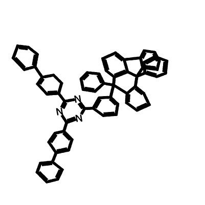 C1=C(c2ccccc2)CCC(c2nc(-c3ccc(-c4ccccc4)cc3)nc(-c3cccc(C4(c5ccccc5)c5ccccc5C5(c6ccccc6)c6ccccc6-c6cccc4c65)c3)n2)=C1